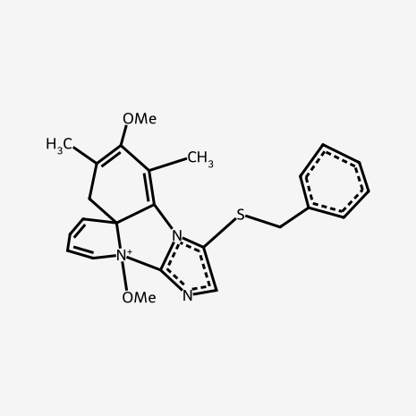 COC1=C(C)CC23C=CC=C[N+]2(OC)c2ncc(SCc4ccccc4)n2C3=C1C